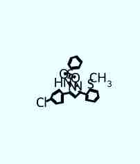 CSc1ccccc1-c1cc(-c2ccc(Cl)cc2)n(NS(=O)(=O)c2ccccc2)n1